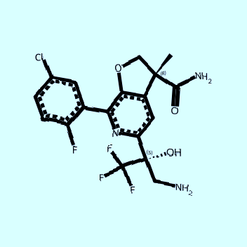 C[C@]1(C(N)=O)COc2c1cc([C@@](O)(CN)C(F)(F)F)nc2-c1cc(Cl)ccc1F